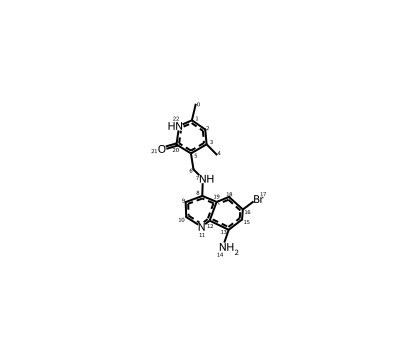 Cc1cc(C)c(CNc2ccnc3c(N)cc(Br)cc23)c(=O)[nH]1